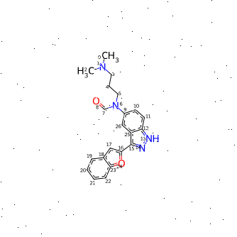 CN(C)CCCN(C=O)c1ccc2[nH]nc(-c3cc4ccccc4o3)c2c1